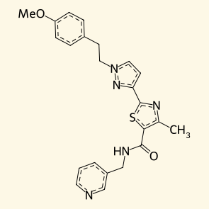 COc1ccc(CCn2ccc(-c3nc(C)c(C(=O)NCc4cccnc4)s3)n2)cc1